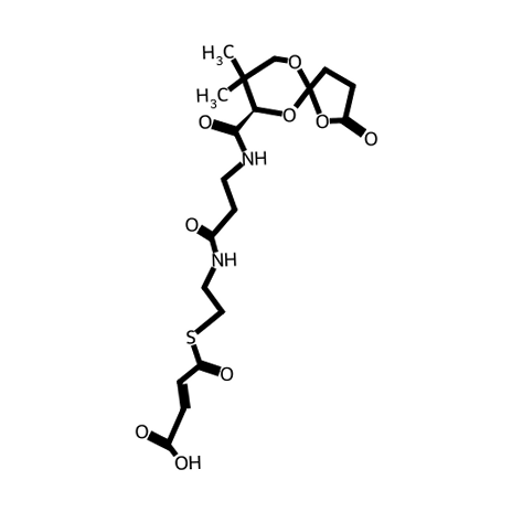 CC1(C)COC2(CCC(=O)O2)O[C@H]1C(=O)NCCC(=O)NCCSC(=O)/C=C/C(=O)O